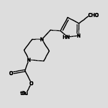 CC(C)(C)OC(=O)N1CCN(Cc2cc(C=O)n[nH]2)CC1